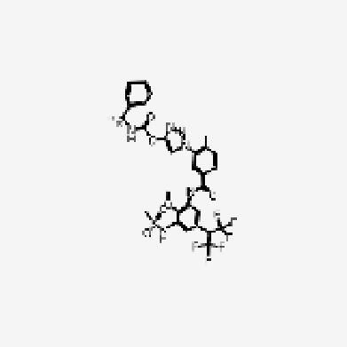 COc1c(NC(=O)c2ccc(C)c(-n3cc(OC(=O)N[C@H](C)c4ccccc4)nn3)c2)cc(C(C(F)(F)F)C(F)(F)F)cc1NS(C)(=O)=O